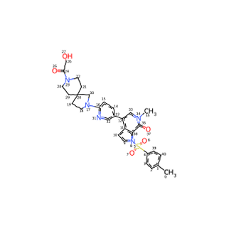 Cc1ccc(S(=O)(=O)n2ccc3c(-c4ccc(N5CCC6(CCN(C(=O)CO)CC6)C5)nc4)cn(C)c(=O)c32)cc1